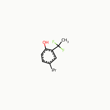 CC(C)c1ccc(O)c(C(C)(F)F)c1